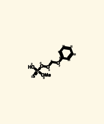 COP(O)(=S)OOCOc1ccccc1